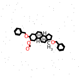 C[C@]12CC[C@H]3[C@@H](CCC4CC(OCc5ccccc5)C(OC=O)C[C@@H]43)[C@@H]1CC[C@@H]2OCc1ccccc1